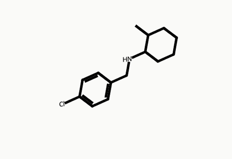 CC1CCCCC1NCc1ccc(Cl)cc1